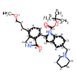 COCCCc1ccc(-c2cc3cc(CN4CCCCC4)ccc3n2C(=O)OC(C)(C)C)c2c1CNC2=O